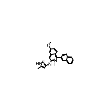 COc1ccc2c(-c3ccc4ccccc4c3)nc(Nc3cc(C)[nH]n3)cc2c1